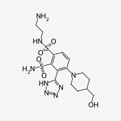 NCCNS(=O)(=O)c1ccc(N2CCC(CO)CC2)c(-c2nnn[nH]2)c1S(N)(=O)=O